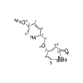 COc1ccc(COc2cc[nH]c(=O)c2)nc1